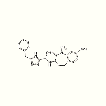 COc1ccc2c(c1)N(C)C(=O)[C@H](NC(O)c1nnc(Cc3ccccc3)[nH]1)CC2